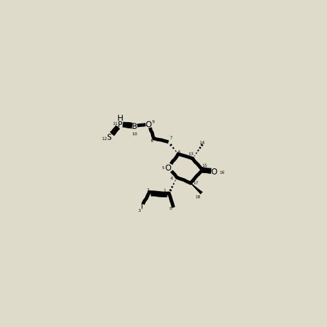 C/C(=C\I)[C@@H]1O[C@H](CCOB=[PH]=S)[C@H](C)C(=O)[C@H]1C